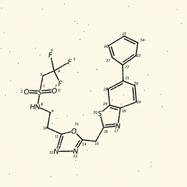 O=S(=O)(CC(F)(F)F)NCCc1nnc(Cc2nc3ccc(-c4ccccc4)cc3s2)o1